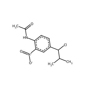 CC(=O)Nc1ccc(C(Cl)C(C)C)cc1[N+](=O)[O-]